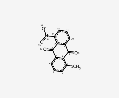 Cc1cccc2c1C(=O)c1cccc([N+](=O)[O-])c1C2=O